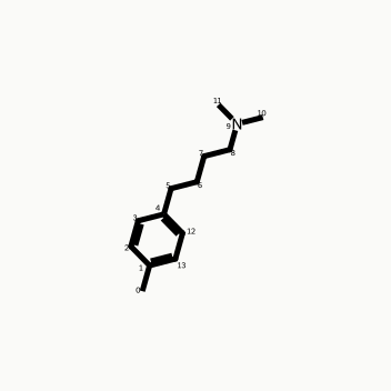 Cc1ccc(CCCCN(C)C)cc1